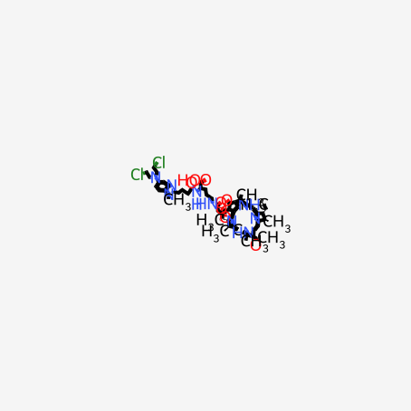 CC[C@H]1c2cc3[nH]c4c(c3C)C(=O)C(C(=O)OC)c4c3nc(cc4[nH]c(cc(n2)[C@@H]1C)c(C(C)=O)c4C)[C@@H](C)[C@@H]3CCCC(=O)NCCCC(NC(=O)CCCc1nc2cc(N(CCCl)CCCl)ccc2n1C)C(=O)O